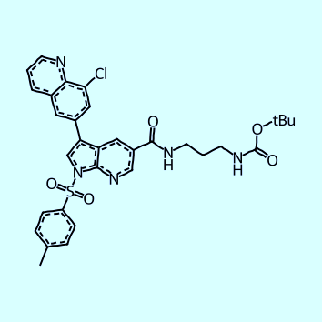 Cc1ccc(S(=O)(=O)n2cc(-c3cc(Cl)c4ncccc4c3)c3cc(C(=O)NCCCNC(=O)OC(C)(C)C)cnc32)cc1